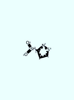 O=[SH](=O)c1ccsn1